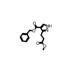 COC(=O)CCc1n[nH]cc1C(=O)OCc1ccccc1